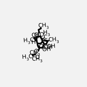 CCCC(=O)O[C@@]12C[C@@H](C)[C@]34C=C(C)C(O)C3(O)[C@H](O)C(COC(=O)C(C)(C)C)=CC(C4=O)[C@@H]1C2(C)C